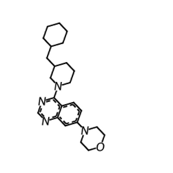 c1nc(N2CCCC(CC3CCCCC3)C2)c2ccc(N3CCOCC3)cc2n1